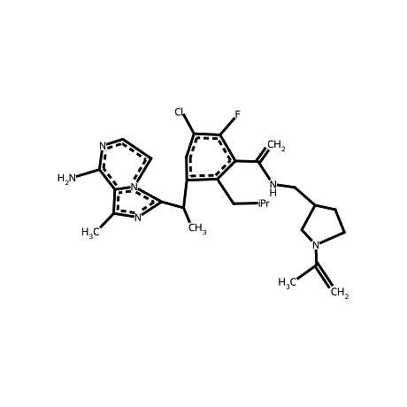 C=C(NCC1CCN(C(=C)C)C1)c1c(F)c(Cl)cc(C(C)c2nc(C)c3c(N)nccn23)c1CC(C)C